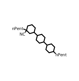 CCCCCC1CCC(C2CCC(C3CCCC(C#N)(CCCCC)C3)CC2)CC1